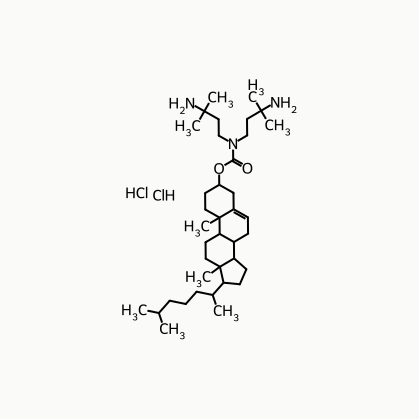 CC(C)CCCC(C)C1CCC2C3CC=C4CC(OC(=O)N(CCC(C)(C)N)CCC(C)(C)N)CCC4(C)C3CCC12C.Cl.Cl